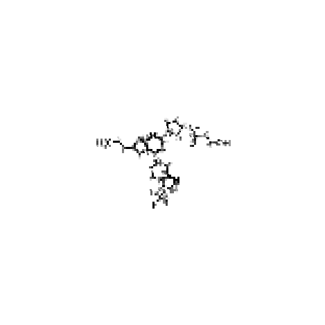 CCCc1cc2c(N3CCn4c(nnc4C(F)(F)F)C3)nc(N3CC[C@H](NC(=O)CCO)C3)nc2s1